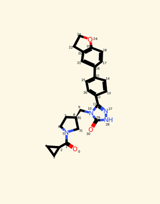 O=C(C1CC1)N1CC[C@@H](Cn2c(-c3ccc(-c4ccc5c(c4)CCO5)cc3)n[nH]c2=O)C1